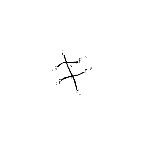 FC(F)(F)C(F)(F)[S]